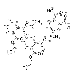 CCOC(=O)c1ccccc1C(=O)OCC.CCOC(=O)c1ccccc1C(=O)OCC.O=C(O)c1ccccc1C(=O)O